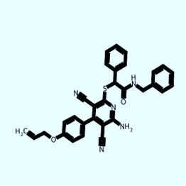 C=CCOc1ccc(-c2c(C#N)c(N)nc(SC(C(=O)NCc3ccccc3)c3ccccc3)c2C#N)cc1